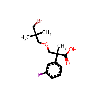 CC(C)(CBr)COCC(C)(C(=O)O)c1cccc(I)c1